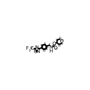 O=C(NCc1ccc(-c2noc(C(F)(F)F)n2)cc1)OC1CCOCC1